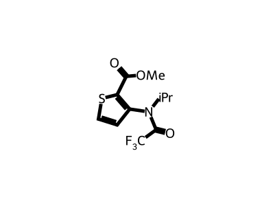 COC(=O)c1sccc1N(C(=O)C(F)(F)F)C(C)C